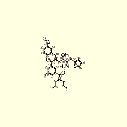 CCCN(CCC)C(=O)c1cc(C)cc(C(=O)N(Cc2cccc(OC)c2)C[C@@H](O)[C@@H](N)Cc2cccs2)c1